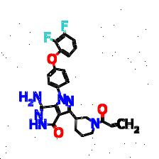 C=CC(=O)N1CCCC(c2nn(-c3ccc(Oc4cccc(F)c4F)cc3)c3c(N)n[nH]c(=O)c23)C1